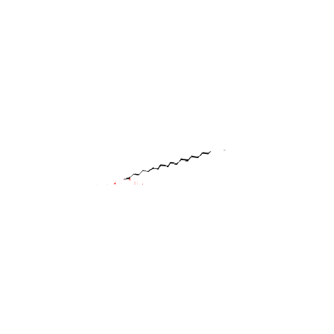 CCCCCCCCCCCCCCCCCCCCCCCCCCC(O)COC=O